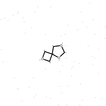 C1OCC2(COC2)O1